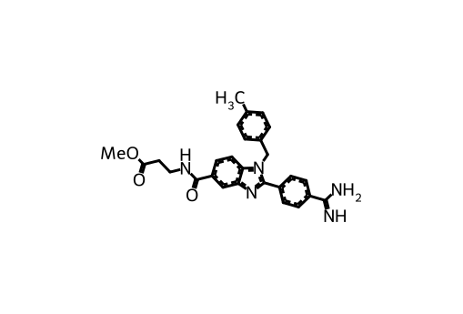 COC(=O)CCNC(=O)c1ccc2c(c1)nc(-c1ccc(C(=N)N)cc1)n2Cc1ccc(C)cc1